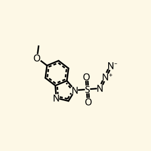 COc1ccc2c(c1)ncn2S(=O)(=O)N=[N+]=[N-]